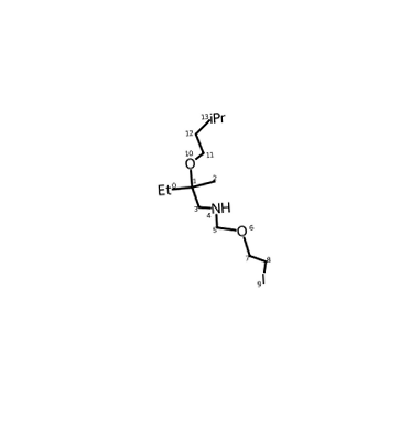 CCC(C)(CNCOCCI)OCCC(C)C